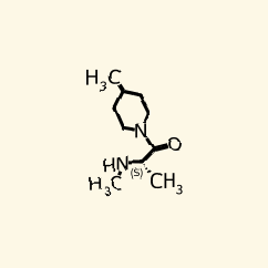 CN[C@@H](C)C(=O)N1CCC(C)CC1